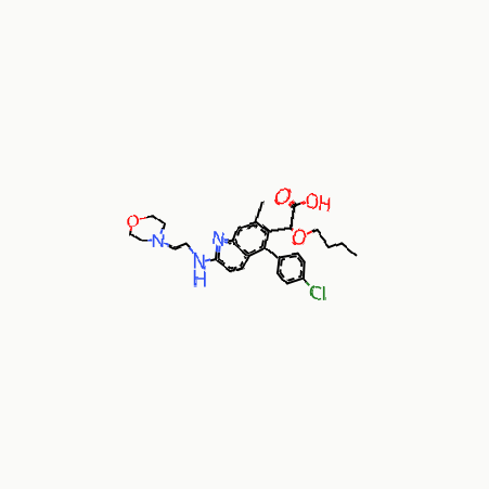 CCCCOC(C(=O)O)c1c(C)cc2nc(NCCN3CCOCC3)ccc2c1-c1ccc(Cl)cc1